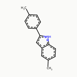 Cc1ccc(-c2cc3cc(C)ccc3[nH]2)cc1